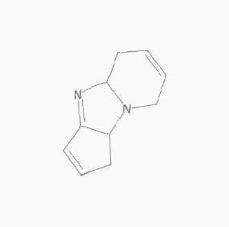 C1=CCN2C(C1)N=C1C=CCC12